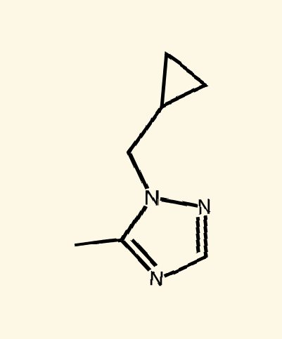 Cc1ncnn1CC1CC1